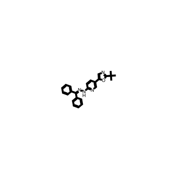 CC(C)(C)c1ncc(-c2ccc(NN=C(c3ccccc3)c3ccccc3)nc2)o1